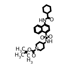 CC(C)(C)OC(=O)N1CCC(NS(=O)(=O)c2ccc(NC(=O)C3CCCCC3)c3ccccc23)CC1